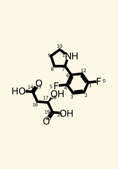 Fc1ccc(F)c(C2CCCN2)c1.O=C(O)C[C@@H](O)C(=O)O